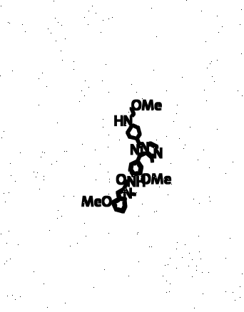 COCCNC1CCC(c2nc(-c3ccc(NC(=O)c4cc5c(OC)cccc5n4C)c(OC)c3)c3c(C)nccn23)CC1